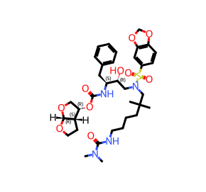 CN(C)C(=O)NCCCCC(C)(C)CN(C[C@@H](O)[C@H](Cc1ccccc1)NC(=O)O[C@H]1CO[C@H]2OCC[C@H]21)S(=O)(=O)c1ccc2c(c1)OCO2